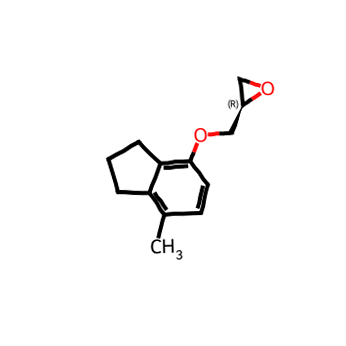 Cc1ccc(OC[C@H]2CO2)c2c1CCC2